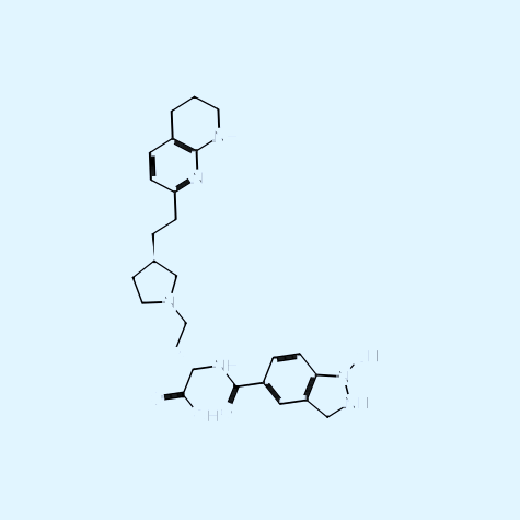 CN1NCc2cc(C(=O)N[C@@H](CCN3CC[C@@H](CCc4ccc5c(n4)NCCC5)C3)C(=O)O)ccc21